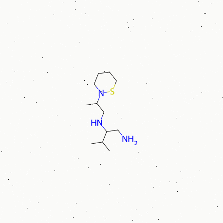 CC(C)C(CN)NCC(C)N1CCCCS1